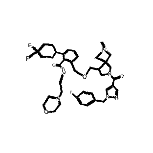 CN1CC2(C1)CN(C(=O)c1cnn(Cc3ccc(F)cc3)c1)CC2COCc1cccc(C2CCC(F)(F)CC2)c1C(=O)OCCN1CCOCC1